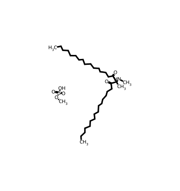 CCCCCCCCCCCCCCCC(=O)C(C)(NC)C(=O)CCCCCCCCCCCCCCC.COS(=O)(=O)O